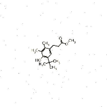 COC(=O)CCc1cc(C(C)(C)C)c(O)c(C)c1C